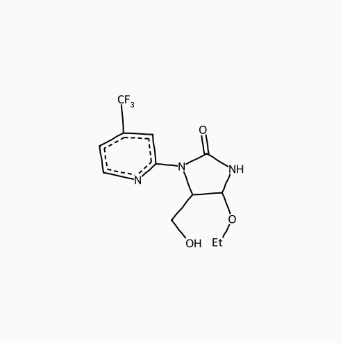 CCOC1NC(=O)N(c2cc(C(F)(F)F)ccn2)C1CO